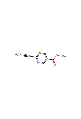 CC#Cc1ccc(C(=O)OC(C)(C)C)cn1